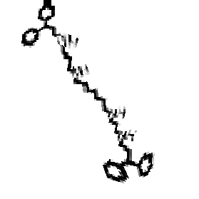 c1ccc(C(CCNCCCNCCCCCCCNCCCNCCC(c2ccccc2)c2ccccc2)c2ccccc2)cc1